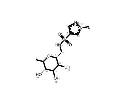 CC1O[C@H](CNS(=O)(=O)c2cnn(C)c2)C(O)C(O)[C@@H]1O